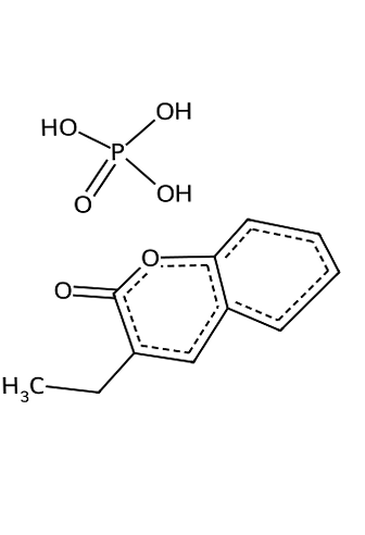 CCc1cc2ccccc2oc1=O.O=P(O)(O)O